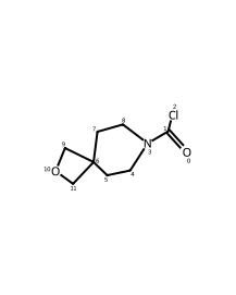 O=C(Cl)N1CCC2(CC1)COC2